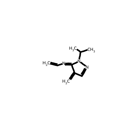 C=C/N=C1\C(=C)C=NN1C(C)C